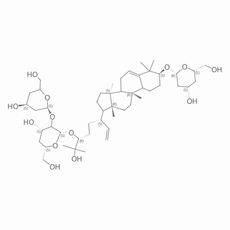 C=C[C@H](CC[C@@H](O[C@@H]1O[C@H](CO)C[C@H](O)C1O[C@H]1C[C@@H](O)CC(CO)O1)C(C)(C)O)C1CC[C@@]2(C)C3CC=C4C(CC[C@H](O[C@H]5C[C@@H](O)C[C@@H](CO)O5)C4(C)C)[C@]3(C)CC[C@]12C